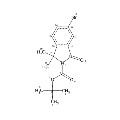 CC(C)(C)OC(=O)N1C(=O)c2cc(Br)ccc2C1(C)C